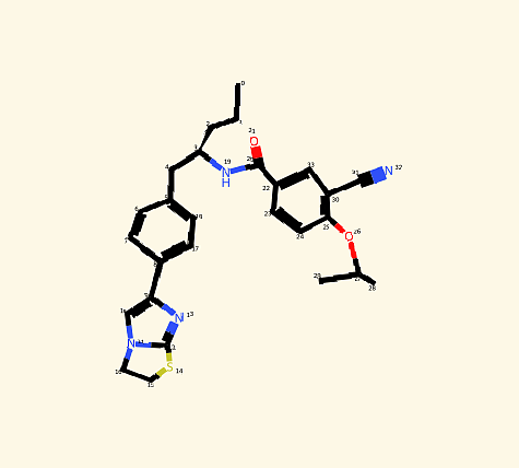 CCC[C@H](Cc1ccc(-c2cn3c(n2)SCC3)cc1)NC(=O)c1ccc(OC(C)C)c(C#N)c1